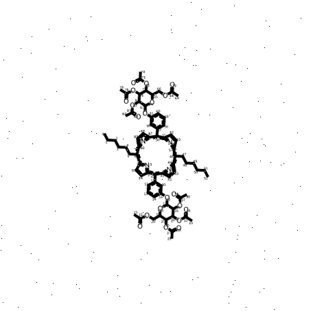 CCCCCCc1c2nc(c(-c3cccc(OC4OC(COC(C)=O)C(OC(C)=O)C(OC(C)=O)C4OC(C)=O)c3)c3ccc([nH]3)c(CCCCCC)c3nc(c(-c4cccc(OC5OC(COC(C)=O)C(OC(C)=O)C(OC(C)=O)C5OC(C)=O)c4)c4ccc1[nH]4)C=C3)C=C2